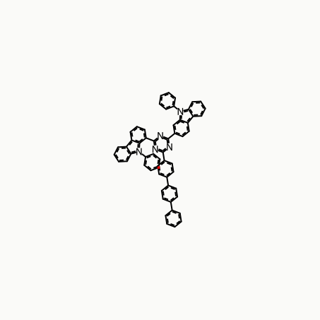 c1ccc(-c2ccc(-c3ccc(-c4nc(-c5ccc6c7ccccc7n(-c7ccccc7)c6c5)nc(-c5cccc6c7ccccc7n(-c7ccccc7)c56)n4)cc3)cc2)cc1